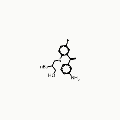 C=C(c1cccc(N)c1)c1cc(F)ccc1SCC(CO)CCCC